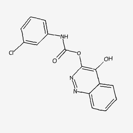 O=C(Nc1cccc(Cl)c1)Oc1nnc2ccccc2c1O